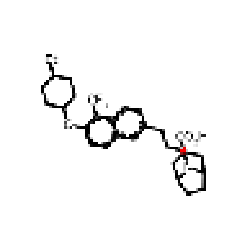 CCC1CCC(Oc2ccc3cc(CCCN4C5CCC4CC(C(=O)O)C5)ccc3c2C(F)(F)F)CC1